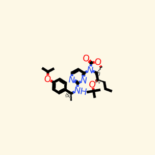 CCC[C@@H](OC(C)(C)C)[C@H]1COC(=O)N1c1ccnc(N[C@@H](C)c2ccc(OC(C)C)cc2)n1